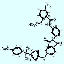 COc1ccc(C(C)(C)c2ccc(Oc3ccc4c(c3)C(=O)N(c3cccc(NC(=O)c5cc(C)ccc5CC(=O)O)c3)C4=O)cc2)cc1